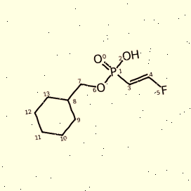 O=P(O)(C=CF)OCC1CCCCC1